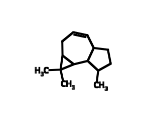 CC1CCC2C=CCC3C(C12)C3(C)C